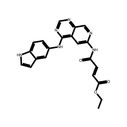 CCOC(=O)C=CC(=O)Nc1cc2c(Nc3ccc4[nH]ccc4c3)ncnc2cn1